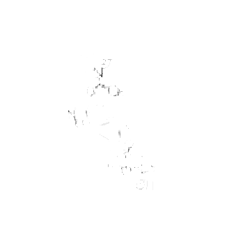 Cc1noc(-c2ccc(O[C@@H]3CCO[C@H](C(=O)O)C3)cc2)c1COC(=O)N(C)CCC(C)C